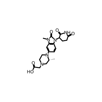 C[C@@H]1CN(CC(=O)O)CCN1c1ccc2c(c1)n(C)c(=O)n2C1CCC(=O)NC1=O